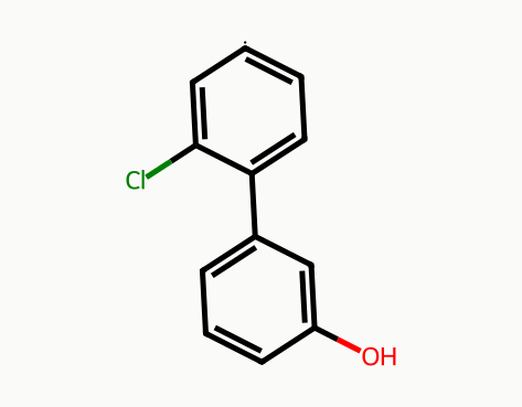 Oc1cccc(-c2cc[c]cc2Cl)c1